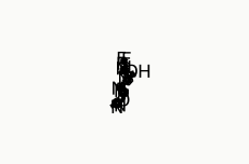 Cc1ccc(Oc2ccc3c(-c4ccc(C(C)O)c(-c5cn(CC(F)(F)F)nc5C)n4)cnn3c2)nn1